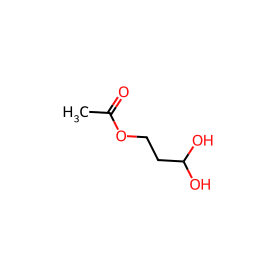 CC(=O)OCCC(O)O